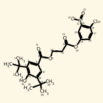 CC(C)(C)c1cc(C(=O)OCCC(=O)Oc2ccc(Cl)c([N+](=O)[O-])c2)cc(C(C)(C)C)c1O